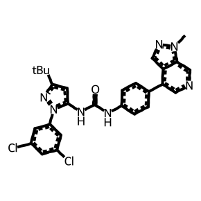 Cn1ncc2c(-c3ccc(NC(=O)Nc4cc(C(C)(C)C)nn4-c4cc(Cl)cc(Cl)c4)cc3)cncc21